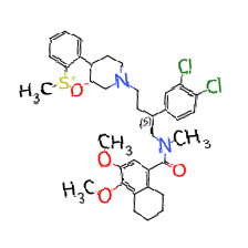 COc1cc(C(=O)N(C)C[C@@H](CCN2CCC(c3ccccc3[S+](C)[O-])CC2)c2ccc(Cl)c(Cl)c2)c2c(c1OC)CCCC2